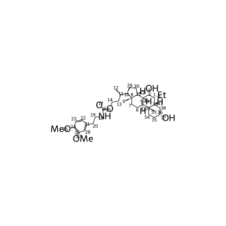 CC[C@H]1[C@@H](O)[C@@H]2[C@H](CC[C@]3(C)[C@@H]([C@H](C)CCOC(=O)NCCc4ccc(OC)c(OC)c4)CC[C@@H]23)[C@@]2(C)CC[C@@H](O)C[C@@H]12